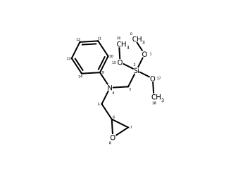 CO[Si](CN(CC1CO1)c1ccccc1)(OC)OC